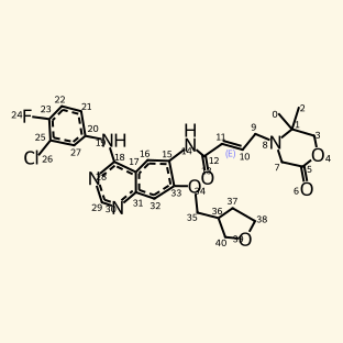 CC1(C)COC(=O)CN1C/C=C/C(=O)Nc1cc2c(Nc3ccc(F)c(Cl)c3)ncnc2cc1OCC1CCOC1